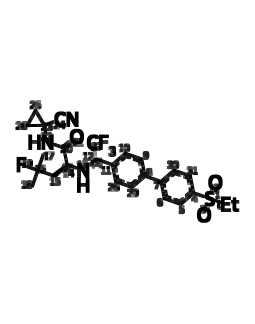 CCS(=O)(=O)c1ccc(-c2ccc([C@H](N[C@@H](CC(C)(C)F)C(=O)NC3(C#N)CC3)C(F)(F)F)cc2)cc1